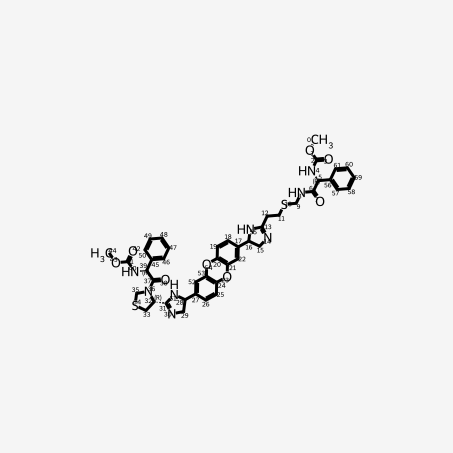 COC(=O)N[C@@H](C(=O)NCSCCC1=NCC(c2ccc3c(c2)Oc2ccc(C4CN=C([C@@H]5CSCN5C(=O)[C@H](NC(=O)OC)c5ccccc5)N4)cc2O3)N1)c1ccccc1